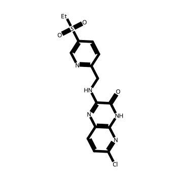 CCS(=O)(=O)c1ccc(CNc2nc3ccc(Cl)nc3[nH]c2=O)nc1